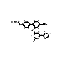 Cc1nc(Oc2cc(C#N)ccc2-c2ccc(CCN)cc2)cc(-c2cscn2)n1